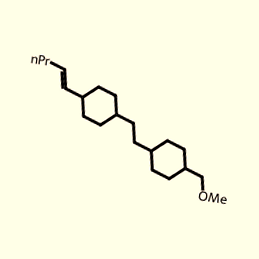 CCCC=CC1CCC(CCC2CCC(COC)CC2)CC1